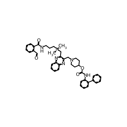 C[N+](C)(CCCNC(=O)c1ccccc1C=O)Cc1nc2ccccc2nc1CN1CCC(OC(=O)Nc2ccccc2-c2ccccc2)CC1